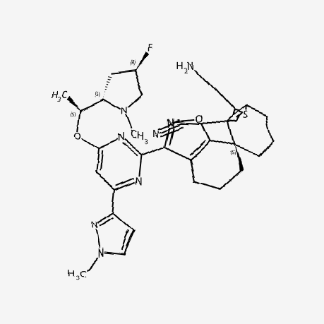 C[C@H](Oc1cc(-c2ccn(C)n2)nc(-c2noc3c2CCC[C@@]32CCCc3sc(N)c(C#N)c32)n1)[C@@H]1C[C@@H](F)CN1C